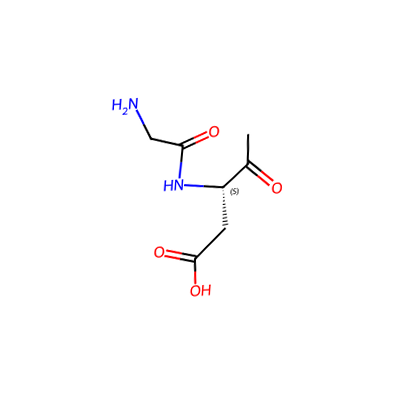 CC(=O)[C@H](CC(=O)O)NC(=O)CN